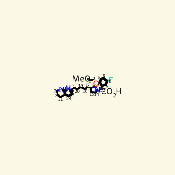 COCCOc1ccc(F)cc1C(C(=O)O)N1CC[C@@H](CCCCCc2ccc3c(n2)NCCC3)C1